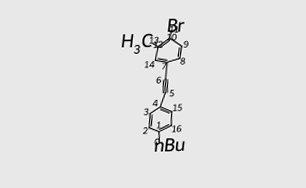 CCCCc1ccc(C#Cc2ccc(Br)c(C)c2)cc1